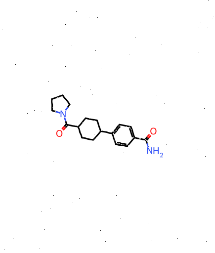 NC(=O)c1ccc(C2CCC(C(=O)N3CCCC3)CC2)cc1